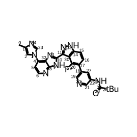 Cc1cn(-c2ccnc3[nH]c(-c4n[nH]c5ccc(-c6cncc(NC(=O)C(C)(C)C)c6)c(F)c45)nc23)cn1